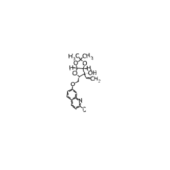 C=C[C@@]1(O)[C@@H](COc2ccc3ccc(Cl)nc3c2)O[C@@H]2OC(C)(C)O[C@@H]21